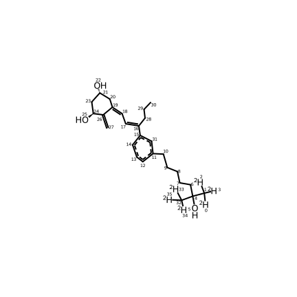 [2H]C([2H])([2H])C(O)(CCCCCc1cccc(/C(=C/C=C2/C[C@@H](O)C[C@H](O)C2=C)CCC)c1)C([2H])([2H])[2H]